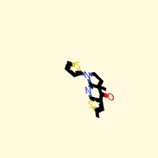 Cc1cc2c(s1)N=C1N(c3cccs3)CCC1(C)C2=O